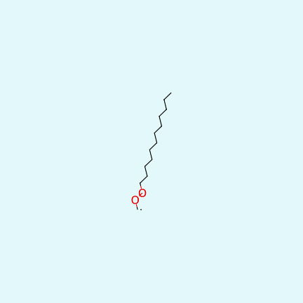 [CH2]OOCCCCCCCCCCCC